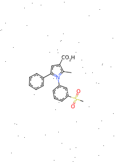 Cc1c(C(=O)O)cc(-c2ccccc2)n1-c1cccc(S(C)(=O)=O)c1